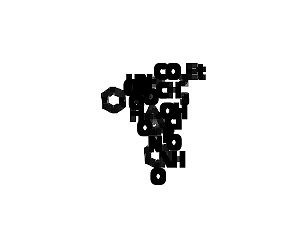 CCOC(=O)[C@H](C)NP(=O)(Oc1ccccc1)OC1[C@H]2O[C@@H](n3ccc(=O)[nH]c3=O)[C@@](F)(Cl)[C@@]12O